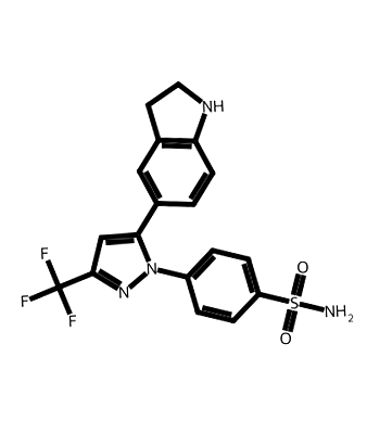 NS(=O)(=O)c1ccc(-n2nc(C(F)(F)F)cc2-c2ccc3c(c2)CCN3)cc1